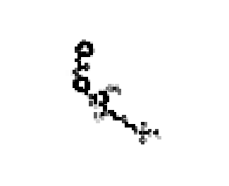 Cc1cc(N(C)CCOCCOS(C)(=O)=O)nc(Nc2ccc(NC(=O)Cc3ccccc3)cc2)n1